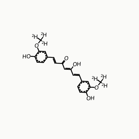 [2H]C([2H])([2H])Oc1cc(C=CC(=O)C=C(O)C=Cc2ccc(O)c(OC([2H])([2H])[2H])c2)ccc1O